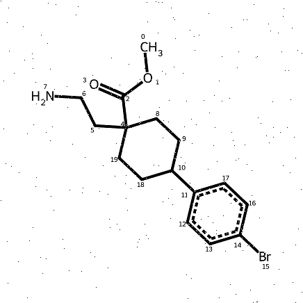 COC(=O)C1(CCN)CCC(c2ccc(Br)cc2)CC1